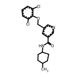 CC1CCC(NC(=O)c2cncc(COc3c(Cl)cccc3Cl)c2)CC1